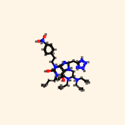 CCCn1c(=O)c2c(nc(Cc3nnn[nH]3)n2CC(N(CC)CC)N(CC)CC)n(CCc2ccc([N+](=O)[O-])cc2)c1=O